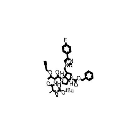 C#CCOC(C)[C@H](NC(=O)[C@H](C)N(C)C(=O)OC(C)(C)C)C(=O)N1CC[C@@H]2[C@H]1C(Cn1cc(-c3ccc(F)cc3)nn1)CN2C(=O)OCc1ccccc1